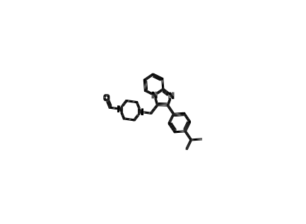 CC(C)c1ccc(-c2nc3ccccn3c2CN2CCN(C=O)CC2)cc1